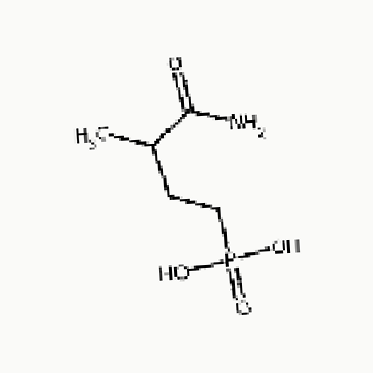 CC(CCP(=O)(O)O)C(N)=O